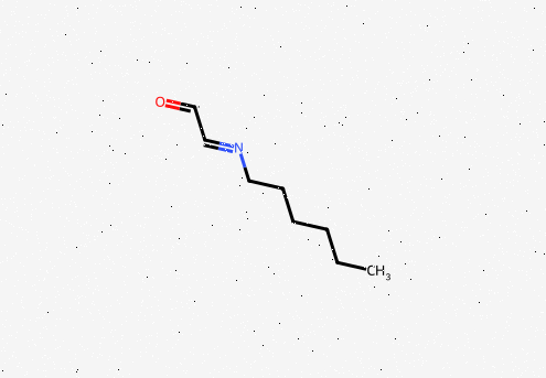 CCCCCCN=C[C]=O